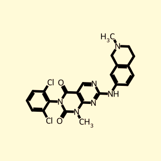 CN1CCc2ccc(Nc3ncc4c(=O)n(-c5c(Cl)cccc5Cl)c(=O)n(C)c4n3)cc2C1